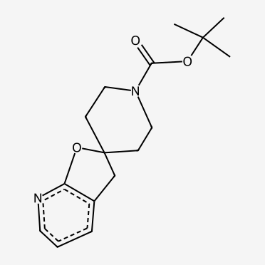 CC(C)(C)OC(=O)N1CCC2(CC1)Cc1cccnc1O2